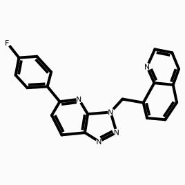 Fc1ccc(-c2ccc3nnn(Cc4cccc5cccnc45)c3n2)cc1